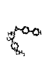 CN1CCN(C(=O)CN[C@H]2CC2c2ccc(-c3ccncc3)cc2)CC1